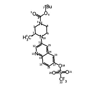 C[C@H]1CN(C(=O)OC(C)(C)C)CCN1c1cnc2ccc(OS(=O)(=O)C(F)(F)F)cc2c1